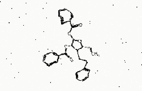 CC[C@H]1O[C@H](OC(=O)c2ccccc2)[C@@H](OC(=O)c2ccccc2)C1CCc1ccccc1